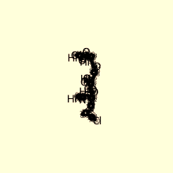 CC1(C)CCC(CN2CCN(c3ccc(C(=O)NS(=O)(=O)c4ccc(NCC5CCN(C(=O)CCNc6cccc7c6CN(C6CCC(=O)NC6=O)C7=O)CC5)c([N+](=O)[O-])c4)c(Oc4cnc5[nH]ccc5c4)c3)CC2)=C(c2ccc(Cl)cc2)C1